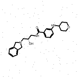 O=C(NC[C@H](O)CN1Cc2ccccc2C1)c1cccc(NC2CCOCC2)c1